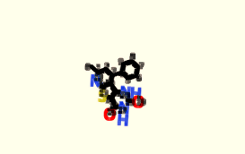 Cc1cc(-c2ccccc2)c2c(n1)sc1c(=O)[nH]c(=O)[nH]c12